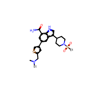 CCN(C)Cc1cc(-c2cc(C(N)=O)c3[nH]cc(C4CCN(S(=O)(=O)CC)CC4)c3c2)cs1